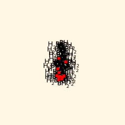 B=C(B)/C(B)=C(/B)c1c(C)c(-c2c(C#C)c(/C(B)=C(/B)CB)c(-c3c(B)c(B)c(-c4c(B)c(B)c5c(B)c(B)c(B)c(B)c5c4B)c(B)c3B)c3c(B)c(B)c(B)c(B)c23)c(B)c(/C(B)=C(/B)C(B)=C)c1-c1c(B)c(B)c(B)c(B)c1B